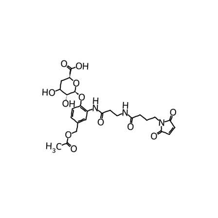 CC(=O)OCc1ccc(O[C@@H]2O[C@H](C(=O)O)CC(O)[C@H]2O)c(NC(=O)CCNC(=O)CCCN2C(=O)C=CC2=O)c1